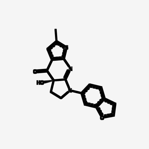 Cc1cc2c(s1)N=C1N(c3ccc4ccoc4c3)CC[C@@]1(O)C2=O